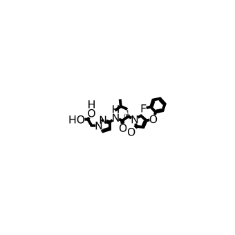 CC(C)C[C@@H](C(=O)Nc1ccn(CC(O)O)n1)N1CC(Oc2ccccc2F)=CC1=O